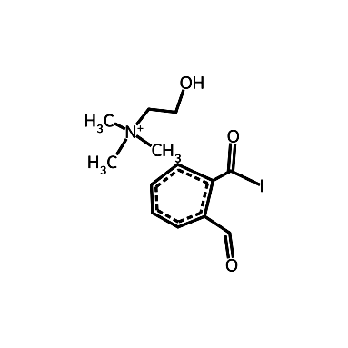 C[N+](C)(C)CCO.O=Cc1ccccc1C(=O)I